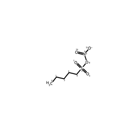 CCCCCS(=O)(=O)O[N+](=O)[O-]